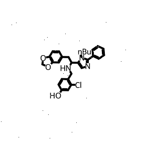 CCCCn1c(C(Cc2ccc3c(c2)OCO3)NCc2ccc(O)cc2Cl)cnc1-c1ccccc1